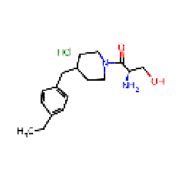 CCc1ccc(CC2CCN(C(=O)[C@H](N)CO)CC2)cc1.Cl